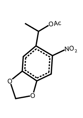 CC(=O)OC(C)c1cc2c(cc1[N+](=O)[O-])OCO2